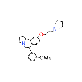 COc1cccc(C2CN3CCCC3c3cc(OCCCN4CCCCC4)ccc32)c1